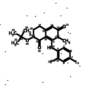 Cn1c(Nc2ccc(I)cc2F)c2c(cc1=O)CCN(OC(C)(C)C)C2=O